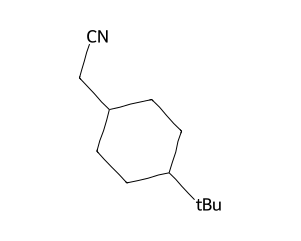 CC(C)(C)C1CCC(CC#N)CC1